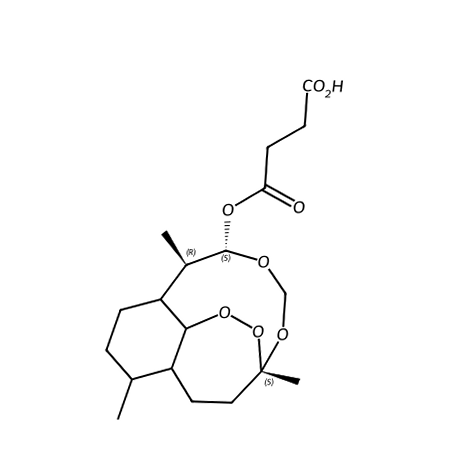 CC1CCC2C3OO[C@@](C)(CCC13)OCO[C@@H](OC(=O)CCC(=O)O)[C@@H]2C